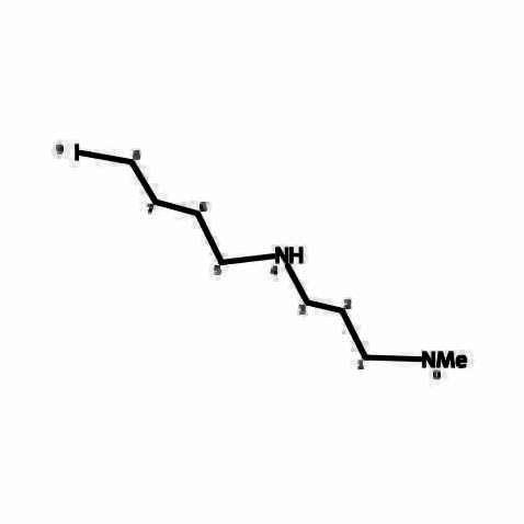 CNCCCNCCCCI